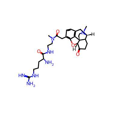 CN(CCNC(=O)[C@@H](N)CCCNC(=N)N)C(=O)Cc1ccc2c3c1O[C@H]1C(=O)CCC4[C@@H](C2)N(C)CC[C@@]341